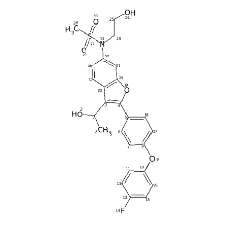 CC(O)c1c(-c2ccc(Oc3ccc(F)cc3)cc2)oc2cc(N(CCO)S(C)(=O)=O)ccc12